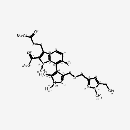 COC(=O)CCc1c(C(=O)OC)n(C)c2c(-c3c(CSCc4cc(CO)n(C)n4)nn(C)c3C)c(Cl)ccc12